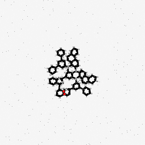 c1ccc(-c2cc(-c3ccccc3)cc(N3c4cc(-c5nc(-c6ccccc6)c6ccccc6n5)cc5c4B(c4ccc6c(ccc7ccccc76)c43)c3ccc4c(ccc6ccccc64)c3N5c3cc(-c4ccccc4)cc(-c4ccccc4)c3)c2)cc1